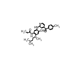 C=CC(=O)Nc1cc(Nc2cc(C(=O)c3ccc(C)cc3)ccn2)c(OC)cc1N(C)CCN(C)C